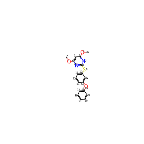 COc1cc(OC)nc(Sc2cccc(Oc3ccccc3)c2)n1